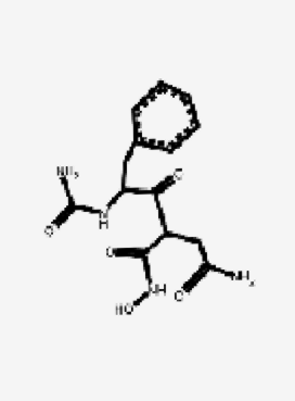 NC(=O)CC(C(=O)NO)C(=O)C(Cc1ccccc1)NC(N)=O